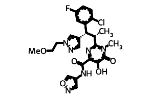 COCCn1cc([C@H](c2cc(F)ccc2Cl)[C@H](C)c2nc(C(=O)Nc3cnoc3)c(O)c(=O)n2C)cn1